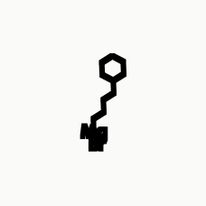 [Br][Mg][CH2]CCCC1CCCCC1